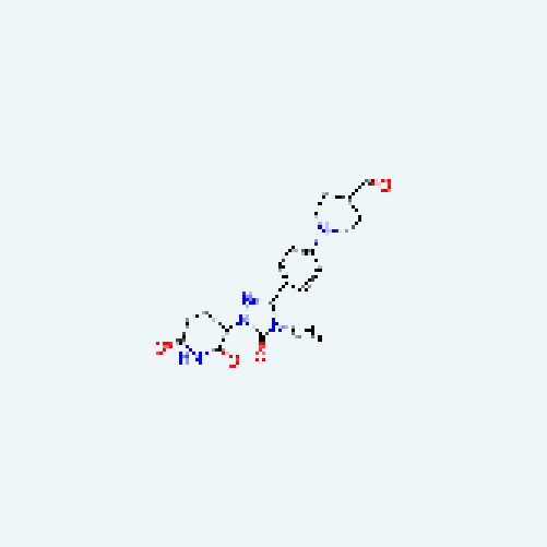 Cn1c(-c2ccc(N3CCC(C=O)CC3)cc2)nn(C2CCC(=O)NC2=O)c1=O